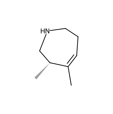 CC1=CCCNC[C@H]1C